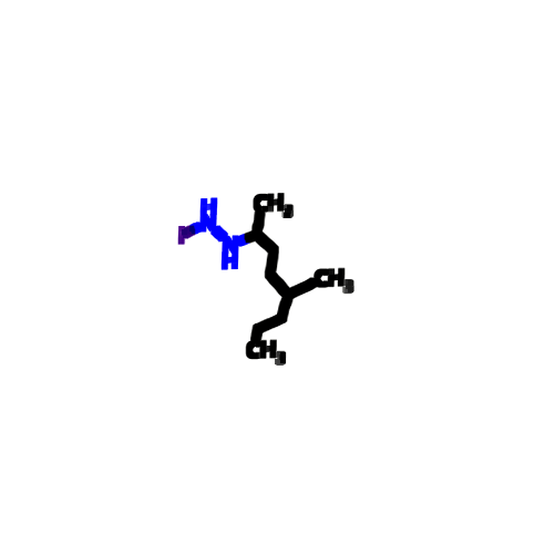 CCCC(C)CCC(C)NNI